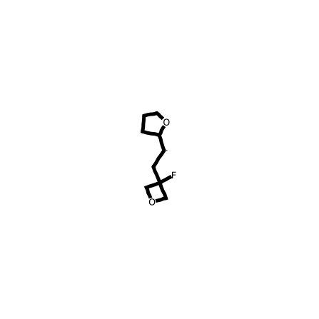 FC1(C[CH]C2CCCO2)COC1